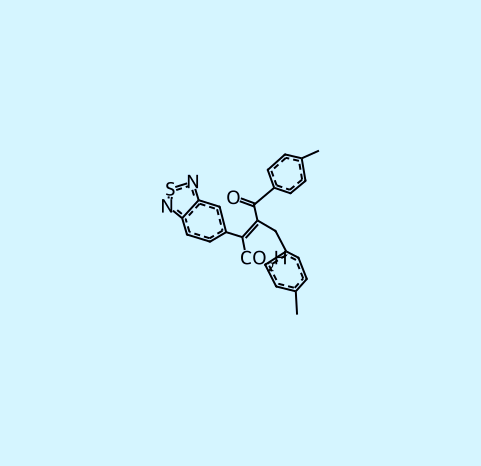 Cc1ccc(CC(C(=O)c2ccc(C)cc2)=C(C(=O)O)c2ccc3nsnc3c2)cc1